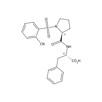 N#Cc1ccccc1S(=O)(=O)N1CCC[C@H]1C(=O)N[C@@H](Cc1ccccc1)C(=O)O